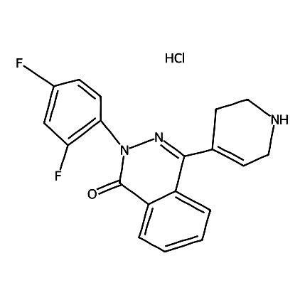 Cl.O=c1c2ccccc2c(C2=CCNCC2)nn1-c1ccc(F)cc1F